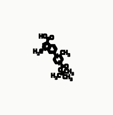 C[C@H]1CN(C(=O)OC(C)(C)C)CCN1c1ccc2c(C(=O)O)cn(C)c2c1